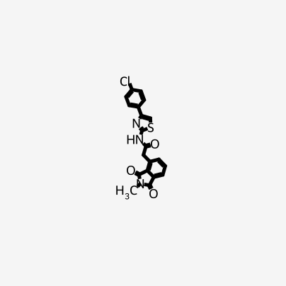 CN1C(=O)c2cccc(CC(=O)Nc3nc(-c4ccc(Cl)cc4)cs3)c2C1=O